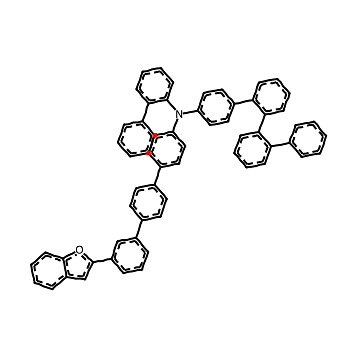 c1ccc(-c2ccccc2-c2ccccc2-c2ccc(N(c3ccc(-c4ccc(-c5cccc(-c6cc7ccccc7o6)c5)cc4)cc3)c3ccccc3-c3ccccc3)cc2)cc1